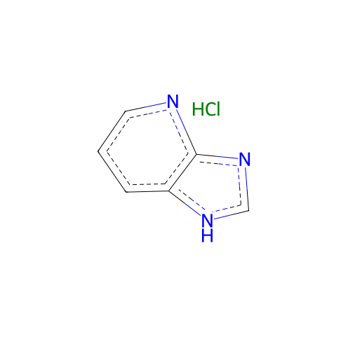 Cl.c1cnc2nc[nH]c2c1